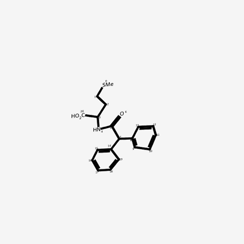 CSCCC(NC(=O)C(c1ccccc1)c1ccccc1)C(=O)O